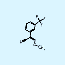 COC=C(C#N)c1cccc(C(F)(F)F)c1